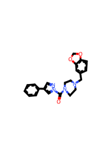 O=C(N1CCN(Cc2ccc3c(c2)OCO3)CC1)n1cc(-c2ccccc2)cn1